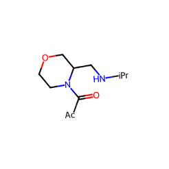 CC(=O)C(=O)N1CCOCC1CNC(C)C